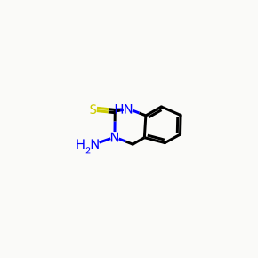 NN1Cc2ccccc2NC1=S